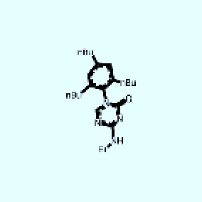 CCCCc1cc(CCCC)c(-n2cnc(NCC)nc2=O)c(CCCC)c1